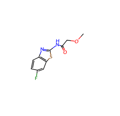 COCC(=O)Nc1nc2ccc(F)cc2s1